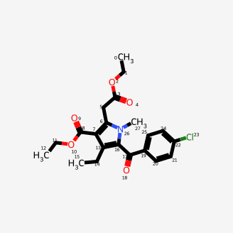 CCOC(=O)Cc1c(C(=O)OCC)c(CC)c(C(=O)c2ccc(Cl)cc2)n1C